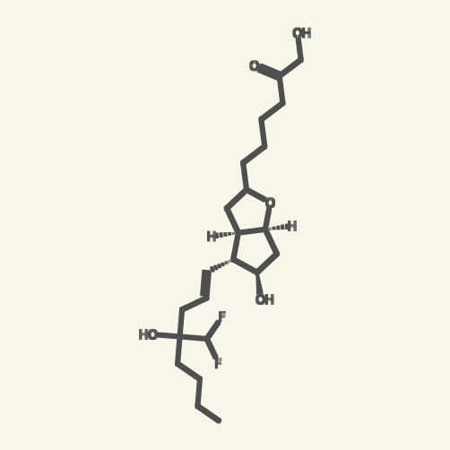 CCCCC(O)(C/C=C/[C@@H]1[C@H]2CC(CCCCC(=O)CO)O[C@H]2C[C@H]1O)C(F)F